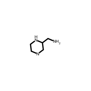 NCC1C[N]CCN1